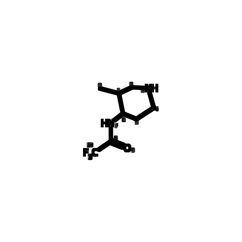 CC1CNCCC1NC(=O)C(F)(F)F